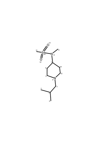 CC(C)CN1CCC(N(C)S(C)(=O)=O)CC1